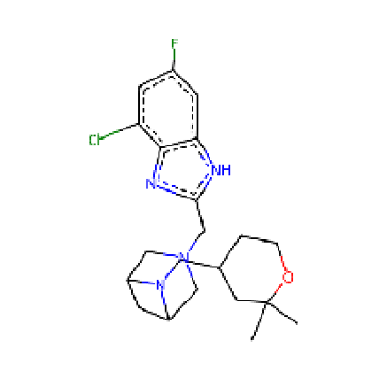 CC1(C)CC(CN2C3CC2CN(Cc2nc4c(Cl)cc(F)cc4[nH]2)C3)CCO1